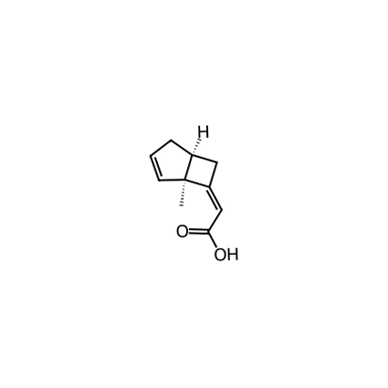 C[C@]12C=CC[C@H]1CC2=CC(=O)O